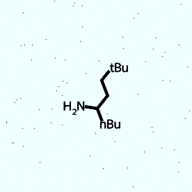 CCCCC(N)CCC(C)(C)C